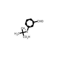 CC(C)(Sc1cccc(C=O)c1)C(=O)O